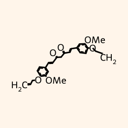 C=CCOc1ccc(C=CC(=O)CC(=O)C=Cc2ccc(OCC=C)c(OC)c2)cc1OC